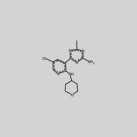 Cc1nc(N)nc(-c2cc(Cl)cnc2NC2CCOCC2)n1